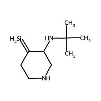 CC(C)(C)NC1CNCCC1=[SiH2]